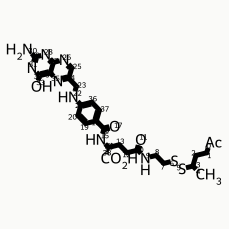 CC(=O)CCC(C)SSCCNC(=O)CC[C@H](NC(=O)c1ccc(NCc2cnc3nc(N)nc(O)c3n2)cc1)C(=O)O